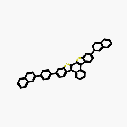 C1=c2ccccc2=CC(c2ccc3c(c2)sc2c4sc5cc(-c6ccc(-c7ccc8ccccc8c7)cc6)ccc5c4c4ccccc4c32)C1